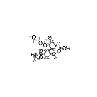 COCCOCOc1c(C=O)cc(CC(=O)O)cc1-c1cc(S(=O)(=O)NC(C)(C)C)ccc1OC